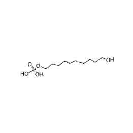 O=P(O)(O)OCCCCCCCCCCO